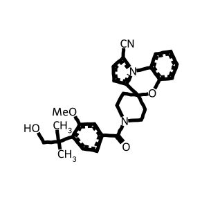 COc1cc(C(=O)N2CCC3(CC2)Oc2ccccc2-n2c(C#N)ccc23)ccc1C(C)(C)CO